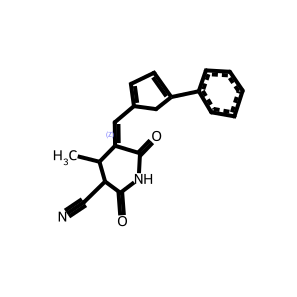 CC1/C(=C/C2=CC=C(c3ccccc3)C2)C(=O)NC(=O)C1C#N